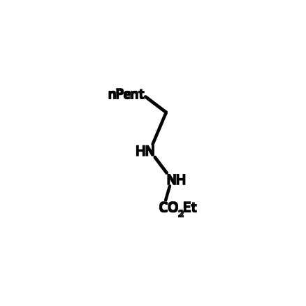 CCCCCCNNC(=O)OCC